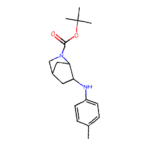 Cc1ccc(NC2CC3CC2N(C(=O)OC(C)(C)C)C3)cc1